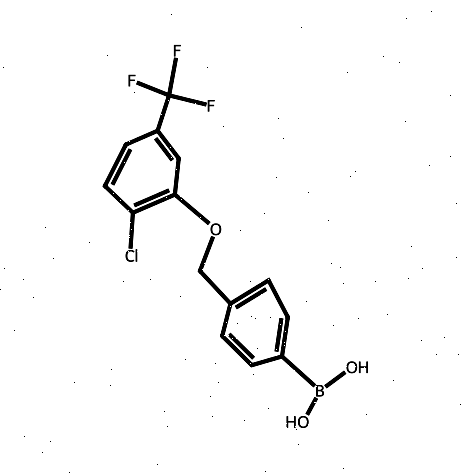 OB(O)c1ccc(COc2cc(C(F)(F)F)ccc2Cl)cc1